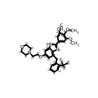 COc1cc(-c2nc3c(Cc4ccccc4C(F)(F)F)cc(OCCN4CCOCC4)cc3[nH]2)cc(OC)c1OC